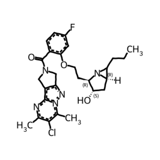 CCCC1[C@H]2C[C@H](O)[C@@H](CCOc3cc(F)ccc3C(=O)N3Cc4nn5c(C)c(Cl)c(C)nc5c4C3)N12